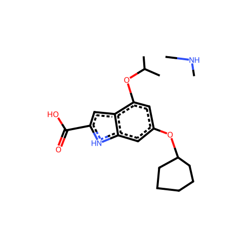 CC(C)Oc1cc(OC2CCCCC2)cc2[nH]c(C(=O)O)cc12.CNC